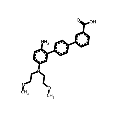 COCCN(CCOC)c1ccc(N)c(-c2ccc(-c3cccc(C(=O)O)c3)cc2)c1